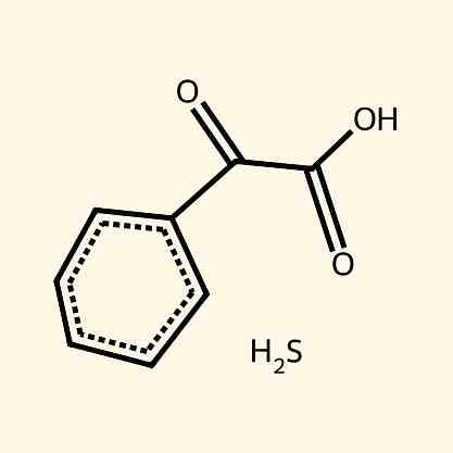 O=C(O)C(=O)c1ccccc1.S